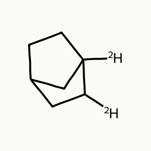 [2H]C1CC2CCC1([2H])C2